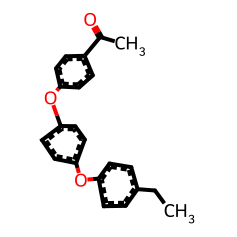 CCc1ccc(Oc2ccc(Oc3ccc(C(C)=O)cc3)cc2)cc1